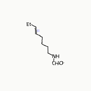 CC/C=C/CCCCN[C]=O